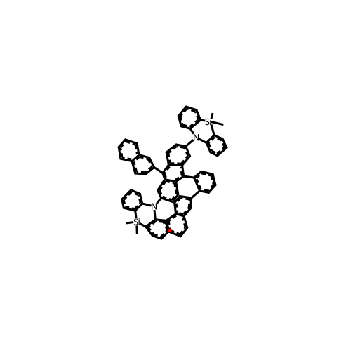 C[Si]1(C)c2ccccc2N(c2ccc3c(-c4ccccc4-c4ccc5ccccc5c4)c4cc(N5c6ccccc6[Si](C)(C)c6ccccc65)ccc4c(-c4ccc5ccccc5c4)c3c2)c2ccccc21